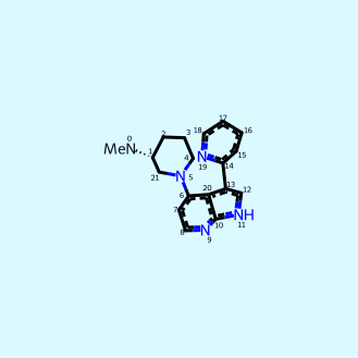 CN[C@@H]1CCCN(c2ccnc3[nH]cc(-c4ccccn4)c23)C1